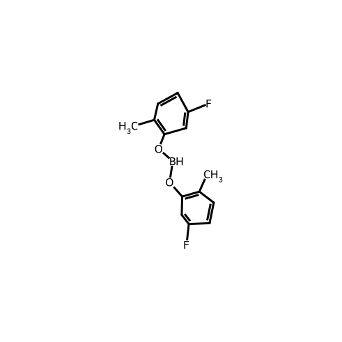 Cc1ccc(F)cc1OBOc1cc(F)ccc1C